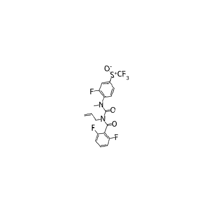 C=CCN(C(=O)c1c(F)cccc1F)C(=O)N(C)c1ccc([S+]([O-])C(F)(F)F)cc1F